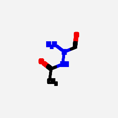 CC(=O)NN(N)C=O